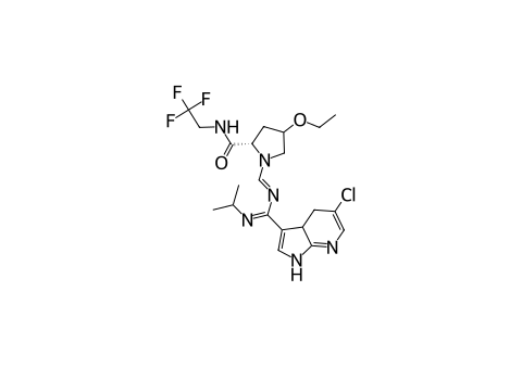 CCOC1C[C@@H](C(=O)NCC(F)(F)F)N(/C=N/C(=N\C(C)C)C2=CNC3=NC=C(Cl)CC23)C1